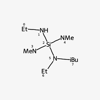 CCN[Si](NC)(NC)N(CC)C(C)CC